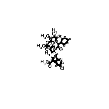 CC(=O)c1cn(C[C@@H]2CCCN2C(=O)[C@@H](NC(=O)[C@H](C)N(C)C(=O)OC(C)(C)C)C2CCCCC2)c2ncc(Cl)cc12